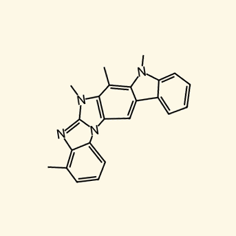 Cc1cccc2c1nc1n(C)c3c(C)c4c(cc3n21)c1ccccc1n4C